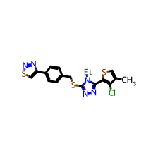 CCn1c(SCc2ccc(-c3csnn3)cc2)nnc1-c1scc(C)c1Cl